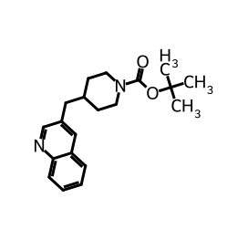 CC(C)(C)OC(=O)N1CCC(Cc2cnc3ccccc3c2)CC1